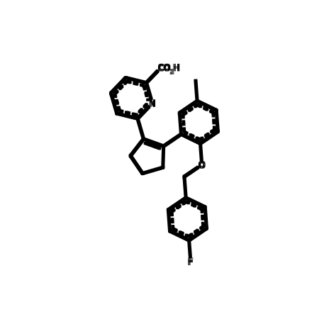 Cc1ccc(OCc2ccc(F)cc2)c(C2=C(c3cccc(C(=O)O)n3)CCC2)c1